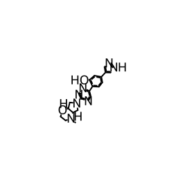 CN1CCO[C@H]2CN(c3ncc(-c4ccc(-c5cn[nH]c5)cc4O)nn3)C[C@H]21